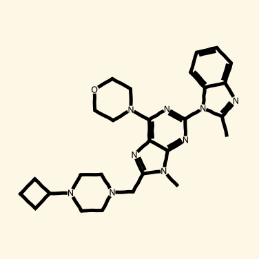 Cc1nc2ccccc2n1-c1nc(N2CCOCC2)c2nc(CN3CCN(C4CCC4)CC3)n(C)c2n1